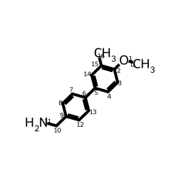 COc1ccc(-c2ccc(CN)cc2)cc1C